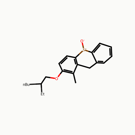 CCCCC(CC)COc1ccc2c(c1C)Cc1ccccc1[S+]2[O-]